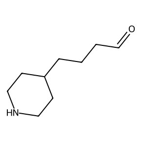 O=CCCCC1CCNCC1